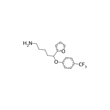 NCCCCC(Oc1ccc(C(F)(F)F)cc1)c1ccco1